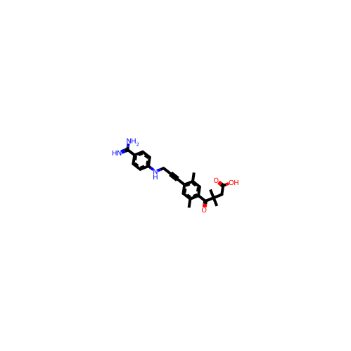 Cc1cc(C(=O)C(C)(C)CC(=O)O)c(C)cc1C#CCNc1ccc(C(=N)N)cc1